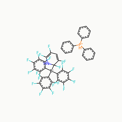 FC1=CC(F)=C(F)NC1(F)[B-](c1c(F)c(F)c(F)c(F)c1F)(c1c(F)c(F)c(F)c(F)c1F)c1c(F)c(F)c(F)c(F)c1F.c1ccc([PH+](c2ccccc2)c2ccccc2)cc1